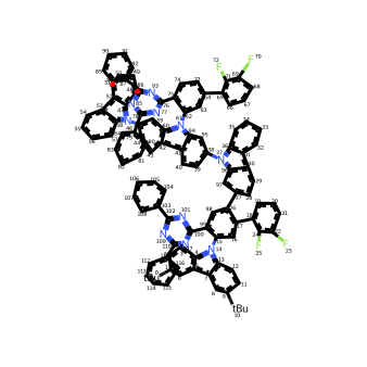 CC(C)(C)c1ccc2c(c1)c1cc(C(C)(C)C)ccc1n2-c1cc(-c2cccc(F)c2F)c(-c2ccc3c4ccccc4n(-c4ccc5c6ccc(-n7c8ccccc8c8ccccc87)cc6n(-c6cc(-c7cccc(F)c7F)ccc6-c6nc(-c7ccccc7)nc(-c7ccccc7)n6)c5c4)c3c2)cc1-c1nc(-c2ccccc2)nc(-c2ccccc2)n1